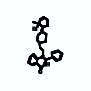 CCC1(C)C=CC=CC1N1CCC(CCN2c3ccccc3C(=O)NC2c2ccccc2)CC1